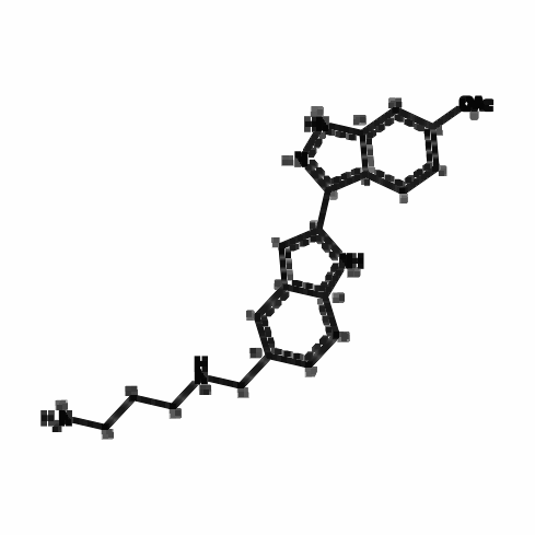 CC(=O)Oc1ccc2c(-c3cc4cc(CNCCCN)ccc4[nH]3)n[nH]c2c1